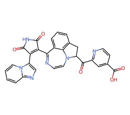 O=C1NC(=O)C(c2cnc3ccccn23)=C1C1=NC=CN2c3c(cccc31)CC2C(=O)c1cc(C(=O)O)ccn1